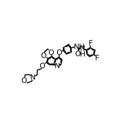 O=C(Nc1ccc(Oc2ccnc3cc(OCCCN4CCOCC4)c4c(c23)OCCO4)cc1)Nc1ccc(F)cc1F